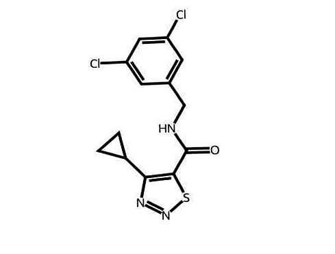 O=C(NCc1cc(Cl)cc(Cl)c1)c1snnc1C1CC1